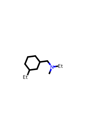 CCC1CCCC(CN(C)CC)C1